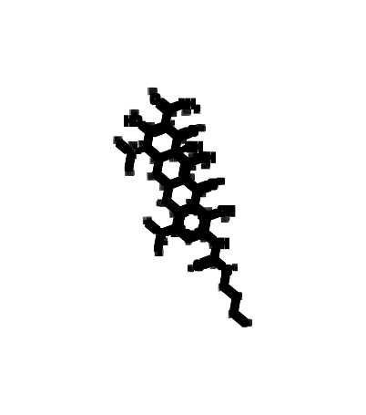 CCCCOC(=O)Nc1cc(N(C)C)c2c(c1O)C(=O)C1=C(O)[C@]3(O)C(=O)C(C(N)=O)=C(O)[C@@H](N(C)C)C3CC1C2